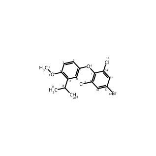 COc1ccc(Oc2c(Cl)cc(Br)cc2Cl)cc1C(C)C